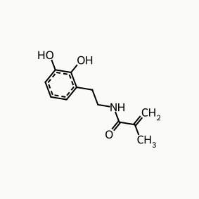 C=C(C)C(=O)NCCc1cccc(O)c1O